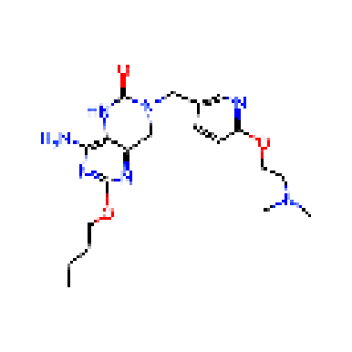 CCCCOc1nc(N)c2c(n1)CN(Cc1ccc(OCCN(C)C)nc1)C(=O)N2